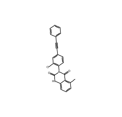 Cc1cccc2[nH]c(=O)n(-c3ccc(C#Cc4ccccc4)cc3Cl)c(=O)c12